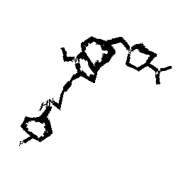 CCn1c(C#CCNc2ccc(F)cc2)cc2cc(CN3CCC(N(C)C)CC3)ccc21